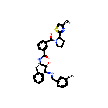 Cc1csc(C2CCCN2C(=O)c2cccc(C(=O)N[C@@H](Cc3ccccc3)[C@H](O)CNCc3cccc(C(F)(F)F)c3)c2)n1